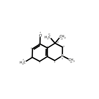 CC1C=C(Cl)C2=C(C1)CN(C)CC2(C)C